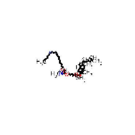 CCCCC/C=C\C/C=C\CCCCCCCCOCC(CN(C)C)OCCCCO[C@@H](C)CC1=CC[C@@H]2C(CC[C@@]3(C)C2CC[C@@H]3[C@H](C)CCCC(C)C)[C@@]1(C)CC